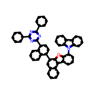 c1ccc(-c2nc(-c3ccccc3)nc(-c3ccc(-c4cc5ccccc5c5c4oc4c(-n6c7ccccc7c7ccccc76)cccc45)c4ccccc34)n2)cc1